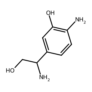 Nc1ccc(C(N)CO)cc1O